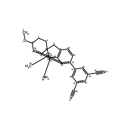 COC1CCC2(CC1)Cc1ccc(-c3cc(C#N)cc(C#N)c3)cc1C21N=C(N)N(C)C1=O